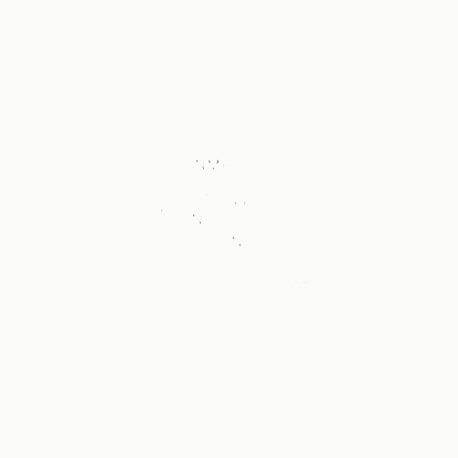 CNC(=O)N(C)CN1C=C(C(F)(F)F)OC1